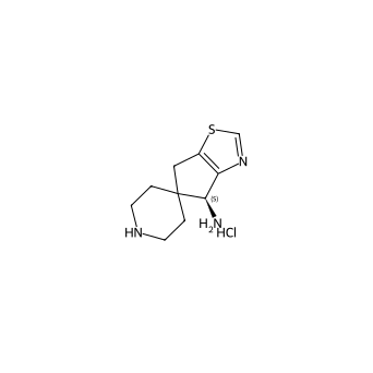 Cl.N[C@@H]1c2ncsc2CC12CCNCC2